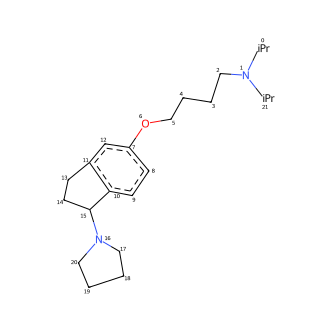 CC(C)N(CCCCOc1ccc2c(c1)CCC2N1CCCC1)C(C)C